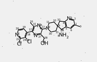 Cc1cnc2c(c1)[C@H](N)C1(CCN(c3nc(C)c(-c4ccnc(Cl)c4Cl)nc3CO)CC1)C2